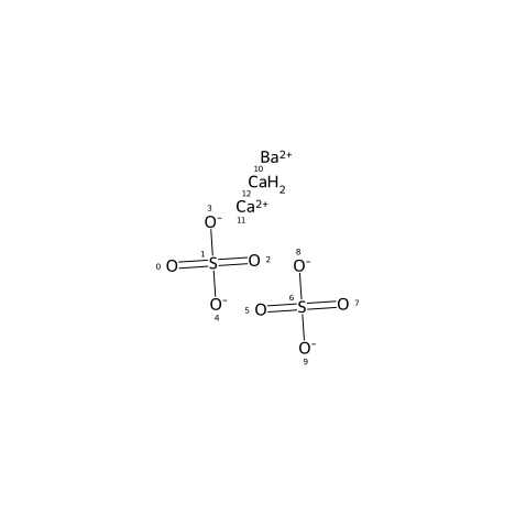 O=S(=O)([O-])[O-].O=S(=O)([O-])[O-].[Ba+2].[Ca+2].[CaH2]